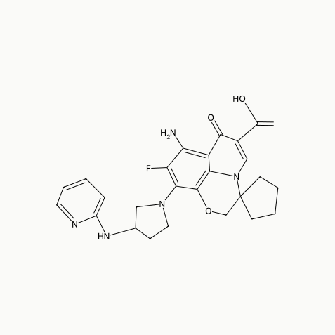 C=C(O)c1cn2c3c(c(N4CCC(Nc5ccccn5)C4)c(F)c(N)c3c1=O)OCC21CCCC1